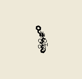 O=C(NC1COC2C1OCC2n1cc(CC2CCCCC2)nn1)c1ccccn1